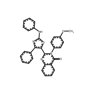 COc1ccc(-n2c(-c3sc(Nc4ccccc4)nc3-c3ccccc3)nc3ccccc3c2=O)cc1